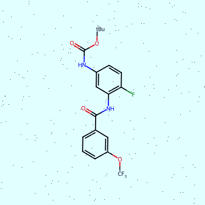 CC(C)(C)OC(=O)Nc1ccc(F)c(NC(=O)c2cccc(OC(F)(F)F)c2)c1